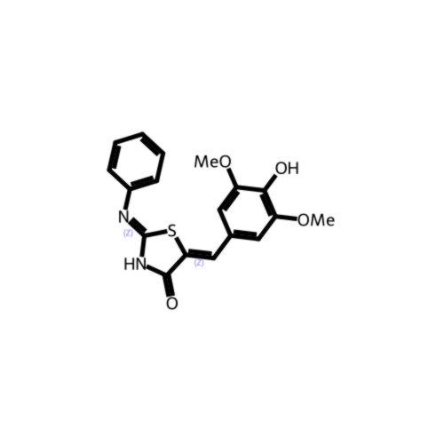 COc1cc(/C=C2\S/C(=N\c3ccccc3)NC2=O)cc(OC)c1O